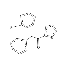 Brc1ccccc1.O=C(Cc1ccccc1)c1cccs1